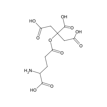 NC(CCC(=O)OC(CC(=O)O)(CC(=O)O)C(=O)O)C(=O)O